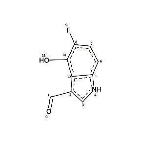 O=Cc1c[nH]c2ccc(F)c(O)c12